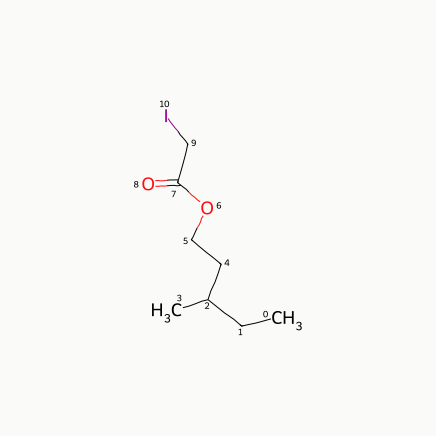 CCC(C)CCOC(=O)CI